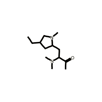 CCC1CC(CC(C(C)=O)N(C)C)N(C)C1